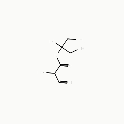 C=CC(C)C(=O)NC(C)(CC)CC